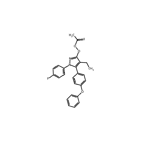 CCc1c(OOC(C)=O)nn(-c2ccc(F)cc2)c1-c1ccc(Oc2ccccc2)cc1